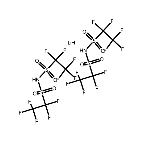 O=S(=O)(NS(=O)(=O)C(F)(F)C(F)(F)F)C(F)(F)C(F)(F)F.O=S(=O)(NS(=O)(=O)C(F)(F)C(F)(F)F)C(F)(F)C(F)(F)F.[LiH]